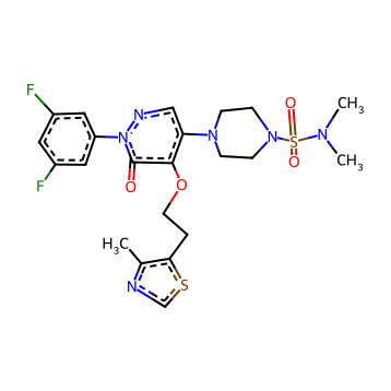 Cc1ncsc1CCOc1c(N2CCN(S(=O)(=O)N(C)C)CC2)cnn(-c2cc(F)cc(F)c2)c1=O